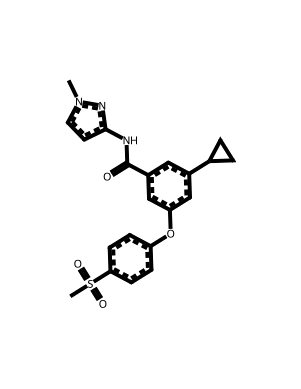 Cn1ccc(NC(=O)c2cc(Oc3ccc(S(C)(=O)=O)cc3)cc(C3CC3)c2)n1